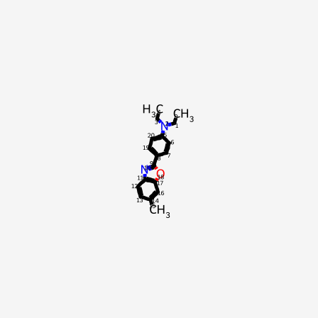 CCN(CC)c1ccc(-c2nc3ccc(C)cc3o2)cc1